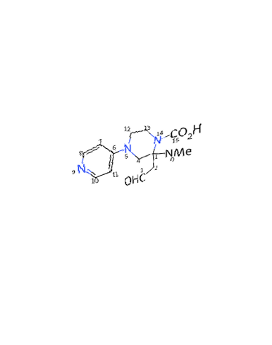 CNC1(CC=O)CN(c2ccncc2)CCN1C(=O)O